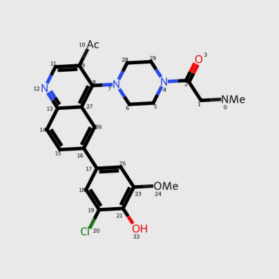 CNCC(=O)N1CCN(c2c(C(C)=O)cnc3ccc(-c4cc(Cl)c(O)c(OC)c4)cc23)CC1